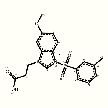 COc1ccc2c(c1)c(CCC(=O)O)cn2S(=O)(=O)c1cccc(C)c1